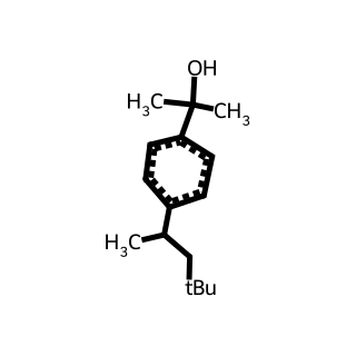 CC(CC(C)(C)C)c1ccc(C(C)(C)O)cc1